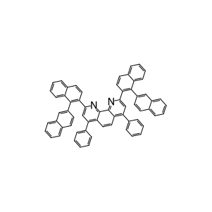 c1ccc(-c2cc(-c3ccc4ccccc4c3-c3ccc4ccccc4c3)nc3c2ccc2c(-c4ccccc4)cc(-c4ccc5ccccc5c4-c4ccc5ccccc5c4)nc23)cc1